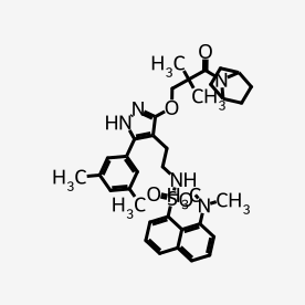 Cc1cc(C)cc(-c2[nH]nc(OCC(C)(C)C(=O)N3C4CCC3CC4)c2CCNS(=O)(=O)c2cccc3cccc(N(C)C)c23)c1